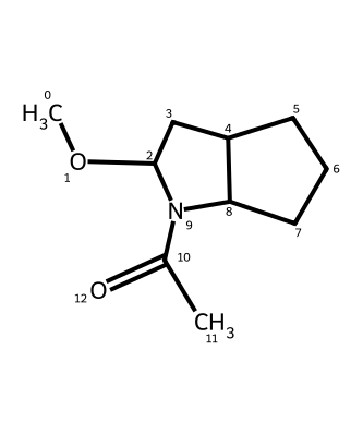 COC1CC2CCCC2N1C(C)=O